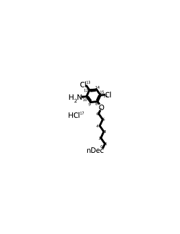 CCCCCCCCCCCCCCCCOc1cc(N)c(Cl)cc1Cl.Cl